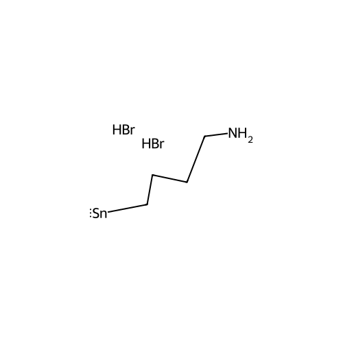 Br.Br.NCCC[CH2][Sn]